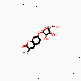 Cc1cc2ccc(O[C@H]3O[C@H](CO)[C@@H](O)[C@@H]3O)cc2oc1=O